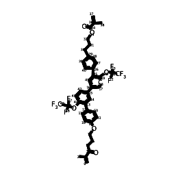 C=C(C)C(=O)CCCOc1ccc(-c2cc(-c3ccc(OC(F)(F)C(F)(F)F)c(-c4ccc(CCCOC(=O)C(=C)C)cc4)c3)ccc2OC(F)(F)C(F)(F)F)cc1